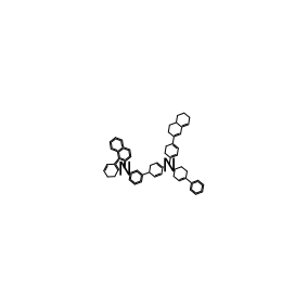 C1=Cc2c(n(-c3cccc(C4C=CC(N(C5=CC=C(C6=CC7=CCCCC7CC6)CC5)C5CC=C(c6ccccc6)CC5)=CC4)c3)c3ccc4ccccc4c23)CC1